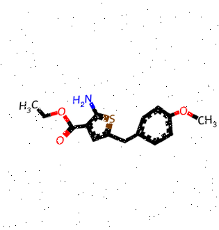 CCOC(=O)c1cc(Cc2ccc(OC)cc2)sc1N